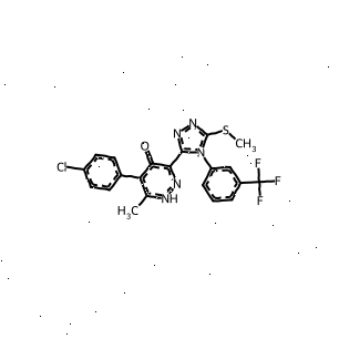 CSc1nnc(-c2n[nH]c(C)c(-c3ccc(Cl)cc3)c2=O)n1-c1cccc(C(F)(F)F)c1